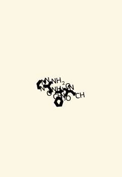 C#Cc1noc2nc([C@@H](C)NC(=O)c3c(N)nn4cccnc34)n(-c3ccccc3)c(=O)c12